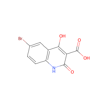 O=C(O)c1c(O)c2cc(Br)ccc2[nH]c1=O